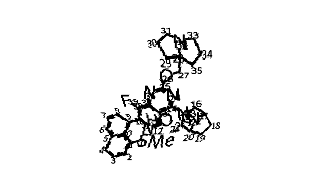 CSc1cccc2cccc(-c3ncc4c(N5CC6CCC(C5)N6C(=O)O)nc(OCC56CCCN5CCC6)nc4c3F)c12